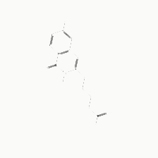 COC(=O)CCCCc1cc2cc(Br)ccc2c(=O)n1C